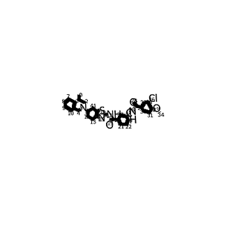 CCCN(Cc1ccccc1)C1CCc2nc(NC(=O)c3cccc(CNC(=O)c4ccc(OC)c(Cl)c4)c3)sc2C1